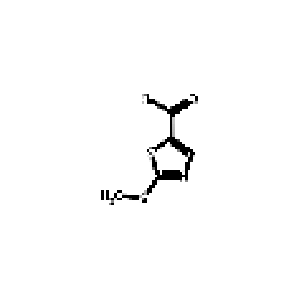 CSc1ncc(C(=O)Cl)s1